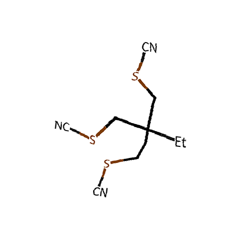 CCC(CSC#N)(CSC#N)CSC#N